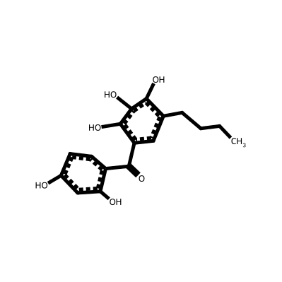 CCCCc1cc(C(=O)c2ccc(O)cc2O)c(O)c(O)c1O